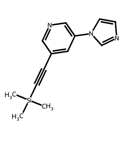 C[Si](C)(C)C#Cc1cncc(-n2ccnc2)c1